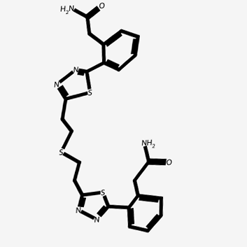 NC(=O)Cc1ccccc1-c1nnc(CCSCCc2nnc(-c3ccccc3CC(N)=O)s2)s1